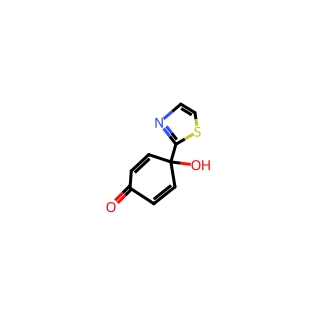 O=C1C=CC(O)(c2nccs2)C=C1